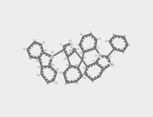 c1ccc(-c2nc3cccc4c3n2-c2ccccc2C42c3ccccc3-c3c(-n4c5ccccc5c5ccccc54)cccc32)cc1